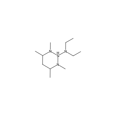 CCN(CC)[SiH]1N(C)C(C)CC(C)N1C